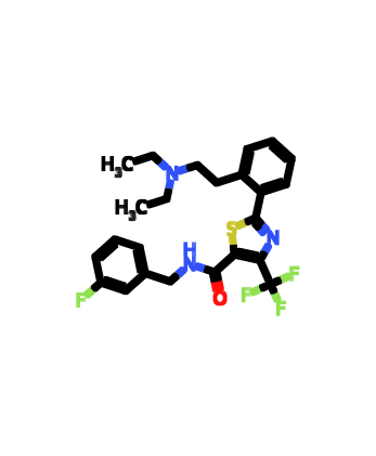 CCN(CC)CCc1ccccc1-c1nc(C(F)(F)F)c(C(=O)NCc2cccc(F)c2)s1